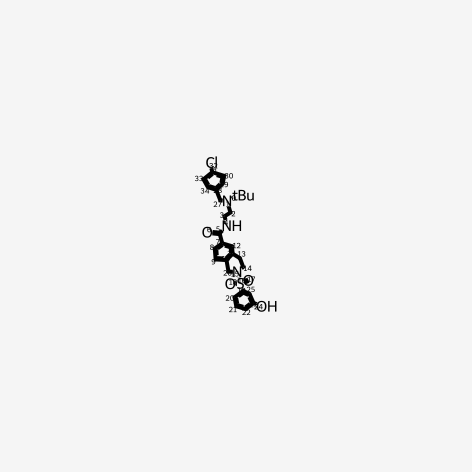 CC(C)(C)N(CCNC(=O)c1ccc2c(c1)CCN(S(=O)(=O)c1cccc(O)c1)C2)Cc1ccc(Cl)cc1